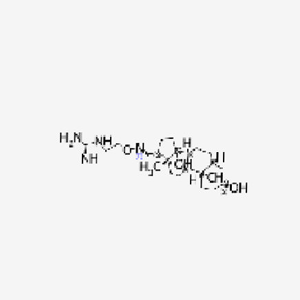 C[C@]12CC[C@H](O)C[C@H]1CC[C@@H]1[C@@H]2CC[C@]2(C)[C@@H](/C=N/OCCNC(=N)N)CC[C@]12O